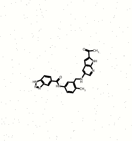 CC(=O)c1cc2cc(NCc3cc(NC(=O)c4ccc5[nH]nnc5c4)ccc3C)cnc2[nH]1